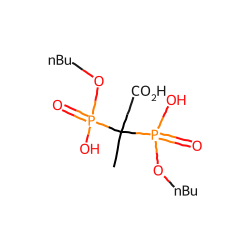 CCCCOP(=O)(O)C(C)(C(=O)O)P(=O)(O)OCCCC